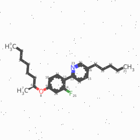 CCCCCC[C@H](C)Oc1ccc(-c2ccc(CCCCC)cn2)c(F)c1